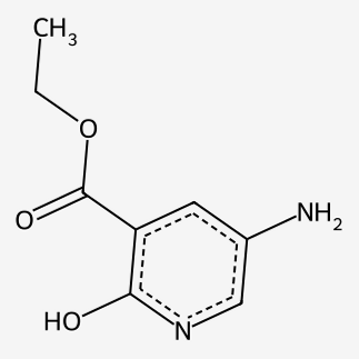 CCOC(=O)c1cc(N)cnc1O